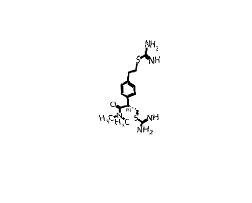 CN(C)C(=O)[C@@H](CSC(=N)N)c1ccc(CCSC(=N)N)cc1